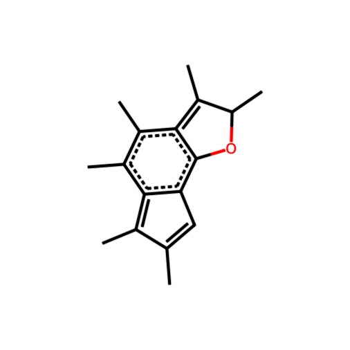 CC1=Cc2c3c(c(C)c(C)c2=C1C)=C(C)C(C)O3